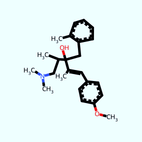 COc1ccc(C=C(C)C(O)(Cc2ccccc2C)C(C)CN(C)C)cc1